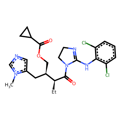 CC[C@H](C(=O)N1CCN=C1Nc1c(Cl)cccc1Cl)[C@H](COC(=O)C1CC1)Cc1cncn1C